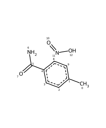 Cc1ccc(C(N)=O)cc1.O=NO